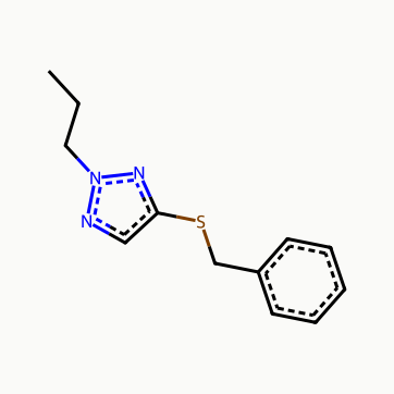 CCCn1ncc(SCc2ccccc2)n1